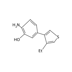 CCc1cscc1-c1ccc(N)c(O)c1